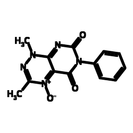 Cc1nn(C)c2nc(=O)n(-c3ccccc3)c(=O)c-2[n+]1[O-]